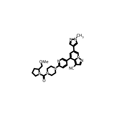 COCC1CCCN1C(=O)N1CCN(c2ccc(-c3cc(-c4cnn(C)c4)cn4ncc(C#N)c34)cn2)CC1